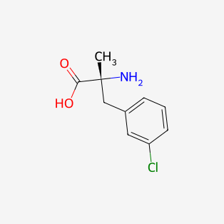 C[C@@](N)(Cc1cccc(Cl)c1)C(=O)O